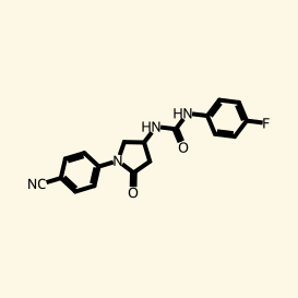 N#Cc1ccc(N2CC(NC(=O)Nc3ccc(F)cc3)CC2=O)cc1